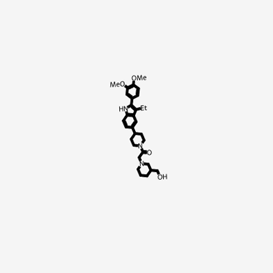 CCc1c(-c2ccc(OC)c(OC)c2)[nH]c2ccc(C3CCN(C(=O)CN4CCCC(CO)C4)CC3)cc12